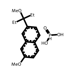 CCC(CC)(OC)c1ccc2ccc(OC)cc2c1.O=[PH](O)O